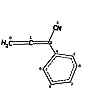 C=C=C(C#N)c1ccccc1